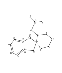 CN(C)CC1CCCC[C@@]12Cc1ccccc1O2